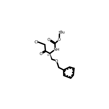 CC(C)(C)OC(=O)N[C@@H](COCc1ccccc1)C(=O)CCl